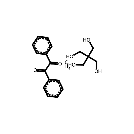 C.O=C(C(=O)c1ccccc1)c1ccccc1.OCC(CO)(CO)CO